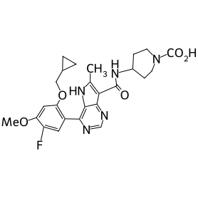 COc1cc(OCC2CC2)c(-c2ncnc3c(C(=O)NC4CCN(C(=O)O)CC4)c(C)[nH]c23)cc1F